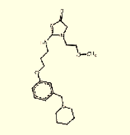 COCCN1CC(=O)N=C1NCCCOc1cccc(CN2CCCCC2)c1